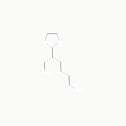 C[CH]C(CCCCC)C1=NCCS1